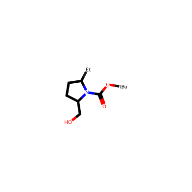 CCC1CCC(CO)N1C(=O)OC(C)(C)C